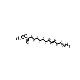 COC(=O)CCCCCCCC=CCCN